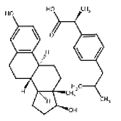 CC(C)Cc1ccc([C@H](C)C(=O)O)cc1.C[C@]12CC[C@@H]3c4ccc(O)cc4CC[C@H]3[C@@H]1CC[C@@H]2O